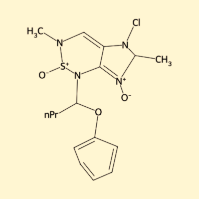 CCCC(Oc1ccccc1)N1C2=[N+]([O-])C(C)N(Cl)C2=CN(C)[S+]1[O-]